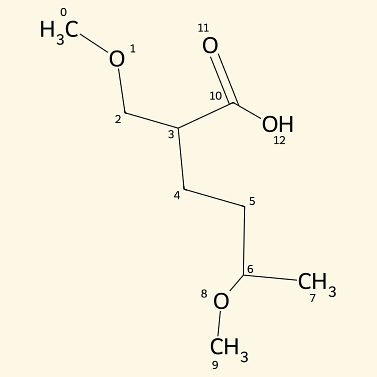 COCC(CCC(C)OC)C(=O)O